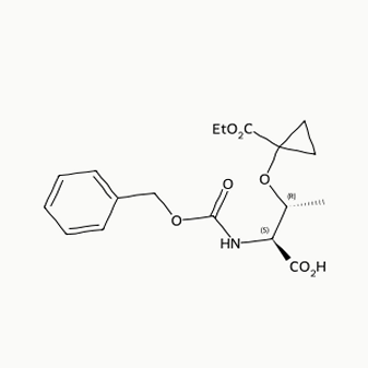 CCOC(=O)C1(O[C@H](C)[C@H](NC(=O)OCc2ccccc2)C(=O)O)CC1